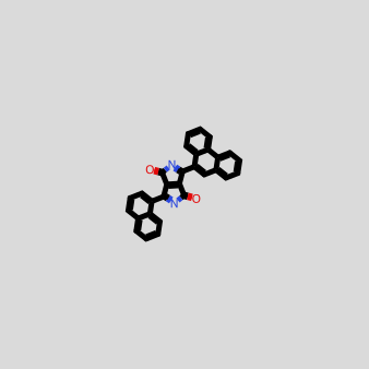 O=c1nc(-c2cc3ccccc3c3ccccc23)c2c(=O)nc(-c3cccc4ccccc34)c1=2